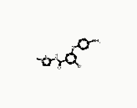 Cn1ccc(NC(=O)c2cc(Br)cc(Oc3ccc(N)cc3)c2)n1